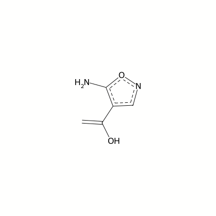 C=C(O)c1cnoc1N